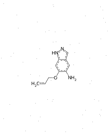 C=CCOc1cc2[nH]ncc2cc1N